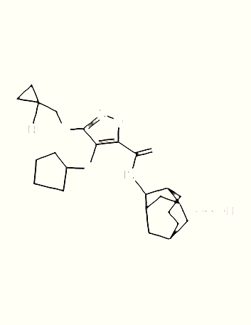 NC1(COc2noc(C(=O)NC3C4CC5CC(C4)C3C[C@@H](O)C5)c2SC2CCCC2)CC1